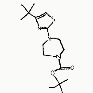 CC(C)(C)OC(=O)N1CCN(c2nc(C(C)(C)C)cs2)CC1